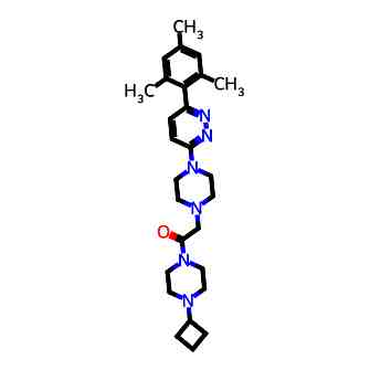 Cc1cc(C)c(-c2ccc(N3CCN(CC(=O)N4CCN(C5CCC5)CC4)CC3)nn2)c(C)c1